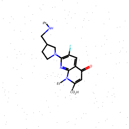 CCn1c(C(=O)O)cc(=O)c2cc(F)c(N3CCC(CNC(C)C)C3)nc21